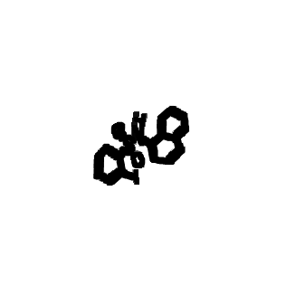 O=S(=O)(Nc1cccc2ccccc12)c1ccccc1I